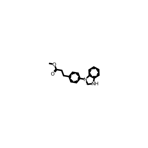 COC(=O)CCc1ccc(N2[CH]Nc3ccccc32)cc1